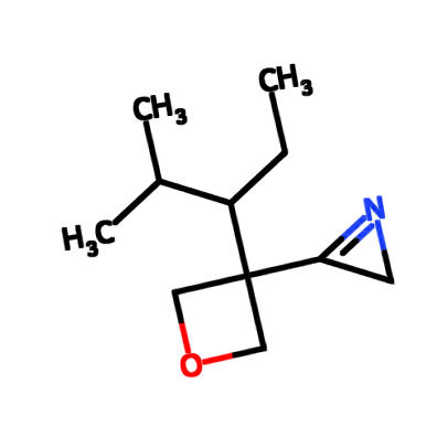 CCC(C(C)C)C1(C2=NC2)COC1